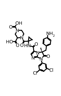 C[C@@]1(Cc2ccc(N)cc2)C(=O)N(c2cc(Cl)cc(Cl)c2)c2ncc(C(=O)NC3(C(=O)N4CCN(C(=O)O)CC4C(=O)O)CC3)n21